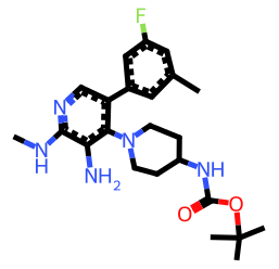 CNc1ncc(-c2cc(C)cc(F)c2)c(N2CCC(NC(=O)OC(C)(C)C)CC2)c1N